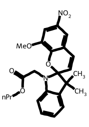 CCCOC(=O)CN1c2ccccc2C(C)(C)C12C=Cc1cc([N+](=O)[O-])cc(OC)c1O2